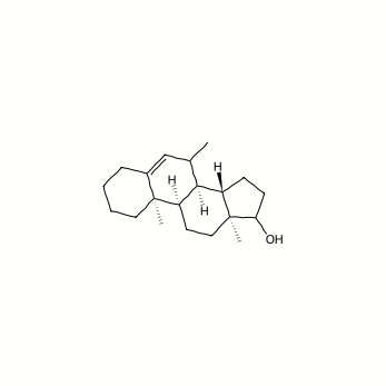 CC1C=C2CCCC[C@]2(C)[C@@H]2CC[C@]3(C)C(O)CC[C@H]3[C@H]12